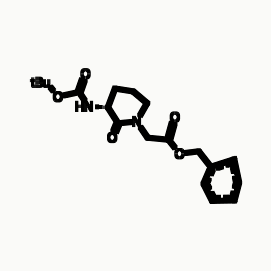 CC(C)(C)OC(=O)N[C@@H]1CCCN(CC(=O)OCc2ccccc2)C1=O